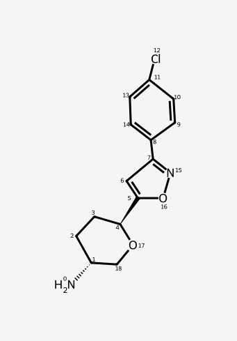 N[C@@H]1CC[C@@H](c2cc(-c3ccc(Cl)cc3)no2)OC1